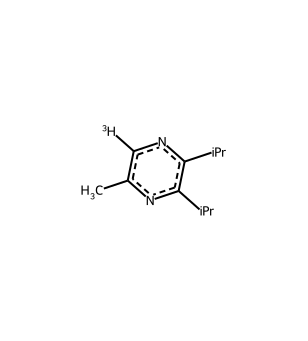 [3H]c1nc(C(C)C)c(C(C)C)nc1C